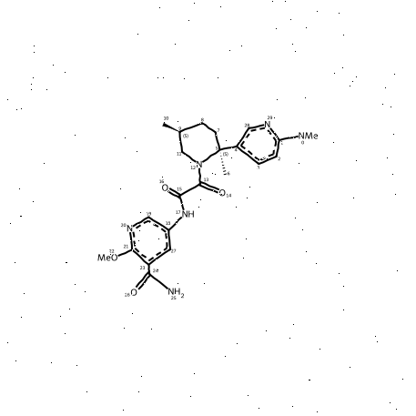 CNc1ccc([C@]2(C)CC[C@H](C)CN2C(=O)C(=O)Nc2cnc(OC)c(C(N)=O)c2)cn1